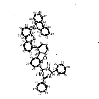 C1=CC2Oc3c(C4NC(c5ccccc5)=NC(c5ccccc5)N4)cccc3C2C(c2cccc3c2sc2c(-n4c5ccccc5c5ccccc54)cccc23)=C1